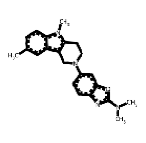 Cc1ccc2c(c1)c1c(n2C)CCN(c2ccc3nc(N(C)C)oc3c2)C1